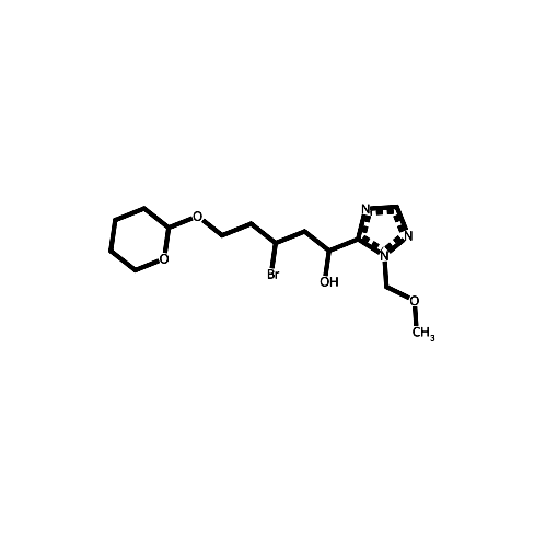 COCn1ncnc1C(O)CC(Br)CCOC1CCCCO1